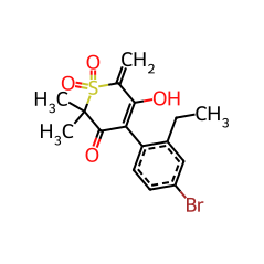 C=C1C(O)=C(c2ccc(Br)cc2CC)C(=O)C(C)(C)S1(=O)=O